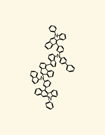 c1ccc(-c2ccc(N(c3cccc(-c4c5ccccc5cc5c4c4ccccc4n5-c4ccccc4)c3)c3cccc4c(-c5cccc6cc(N(c7cccc(-c8c9ccccc9cc9c8c8ccccc8n9-c8ccccc8)c7)c7cccc8ccccc78)c7ccccc7c56)cccc34)cc2)cc1